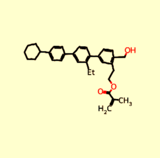 C=C(C)C(=O)OCCc1cc(-c2ccc(-c3ccc(C4CCCCC4)cc3)cc2CC)ccc1CO